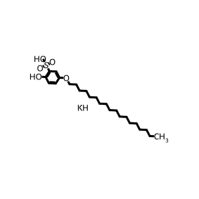 CCCCCCCCCCCCCCCCCCOc1ccc(O)c(S(=O)(=O)O)c1.[KH]